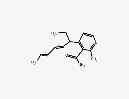 C/C=C/C=C/C(CC)c1ccnc(C)c1C(N)=O